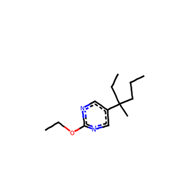 CCCC(C)(CC)c1cnc(OCC)nc1